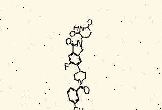 N#Cc1cccc(C(=O)N2CCC(c3cc4c(cc3F)C(=O)N(C3CCC(=O)NC3=O)C4)CC2)c1